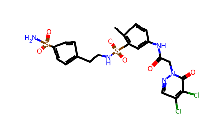 Cc1ccc(NC(=O)Cn2ncc(Cl)c(Cl)c2=O)cc1S(=O)(=O)NCCc1ccc(S(N)(=O)=O)cc1